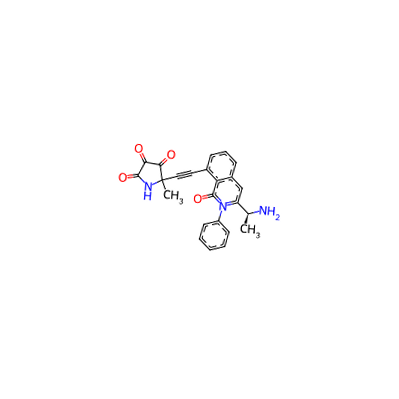 C[C@H](N)c1cc2cccc(C#CC3(C)NC(=O)C(=O)C3=O)c2c(=O)n1-c1ccccc1